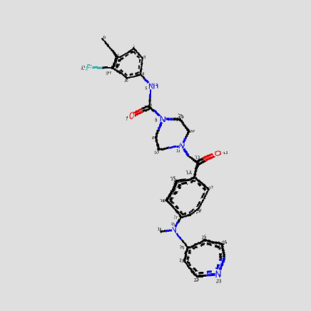 Cc1ccc(NC(=O)N2CCN(C(=O)c3ccc(N(C)c4ccncc4)cc3)CC2)cc1F